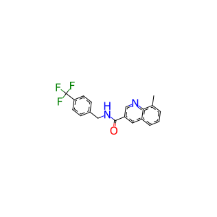 Cc1cccc2cc(C(=O)NCc3ccc(C(F)(F)F)cc3)cnc12